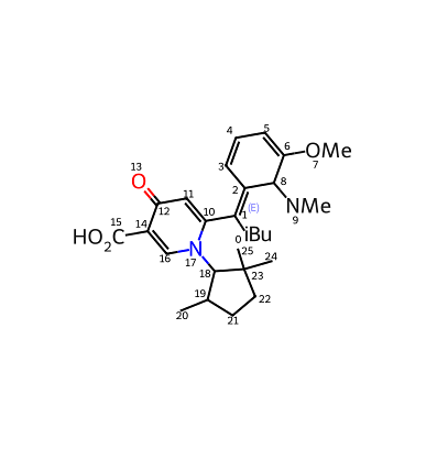 CCC(C)/C(=C1/C=CC=C(OC)C1NC)c1cc(=O)c(C(=O)O)cn1C1C(C)CCC1(C)C